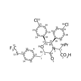 CCCC(C(=O)O)N1C(=O)[C@H](Cc2ccc(SC(F)(F)F)cc2)O[C@@H](c2ccc(Cl)cc2)[C@H]1c1ccc(Cl)cc1